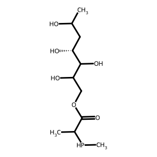 CPC(C)C(=O)OCC(O)C(O)[C@H](O)CC(C)O